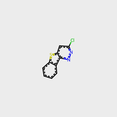 Clc1cc2sc3ccccc3c2nn1